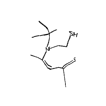 CC(=S)/C=C(/C)N(CS)C(C)(C)C